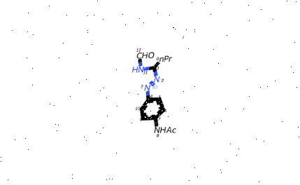 CCCC(/N=N/c1ccc(NC(C)=O)cc1)NC=O